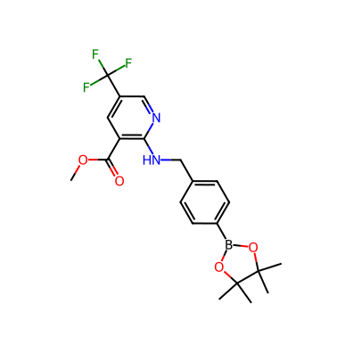 COC(=O)c1cc(C(F)(F)F)cnc1NCc1ccc(B2OC(C)(C)C(C)(C)O2)cc1